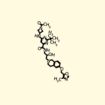 CC(=O)N1CC(Nc2cc(C(=O)NCC(O)CN3CCc4cc(OCc5ocnc5C)ccc4C3)nc(C(C)(C)C)n2)C1